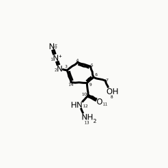 [N-]=[N+]=Nc1ccc(CO)c(C(=O)NN)c1